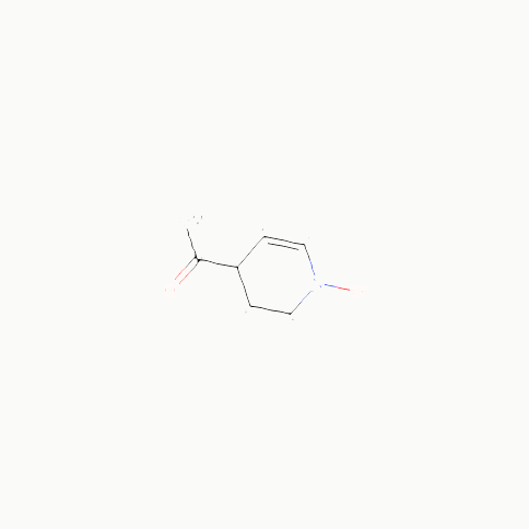 COC(=O)C1C=C[NH+]([O-])CC1